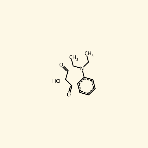 CCN(CC)c1ccccc1.Cl.O=CCC=O